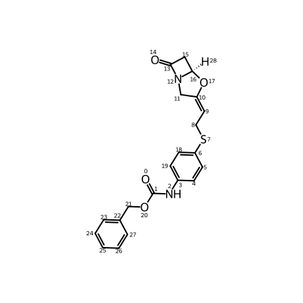 O=C(Nc1ccc(SCC=C2CN3C(=O)C[C@H]3O2)cc1)OCc1ccccc1